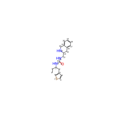 CCC(Cc1ccsc1)NC(=O)NCC1Cc2ccccc2CN1